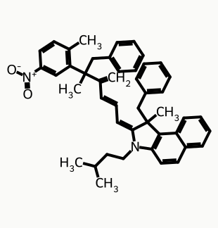 C=C(/C=C/C=C1/N(CCC(C)C)c2ccc3ccccc3c2C1(C)Cc1ccccc1)C(C)(Cc1ccccc1)c1cc([N+](=O)[O-])ccc1C